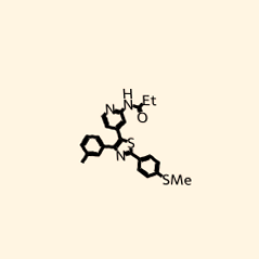 CCC(=O)Nc1cc(-c2sc(-c3ccc(SC)cc3)nc2-c2cccc(C)c2)ccn1